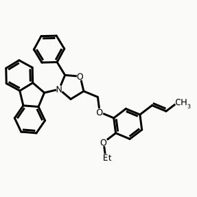 C/C=C/c1ccc(OCC)c(OCC2CN(C3c4ccccc4-c4ccccc43)C(c3ccccc3)O2)c1